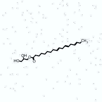 CCC=CCC=CCC=CCCCCCCCC(=O)OCC(O)CO